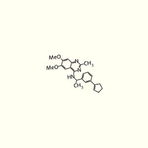 COc1cc2nc(C)nc(NC(C)c3cccc(C4=CCCC4)c3)c2cc1OC